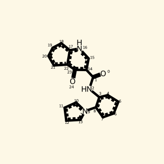 O=C(Nc1ccccc1-n1cccc1)c1c[nH]c2ccccc2c1=O